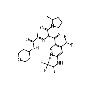 C/C(=N\C(C(=O)N1CCC[C@@H]1C)C(=S)c1cnc(N[C@@H](C)C(F)(F)F)cc1C(F)F)C(=O)NC1CCOCC1